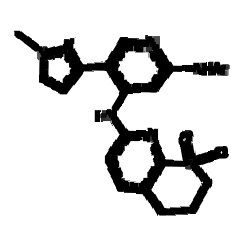 CC(=O)Nc1cc(Nc2ccc3c(n2)S(=O)(=O)CCC3)c(-c2ccn(C)n2)cn1